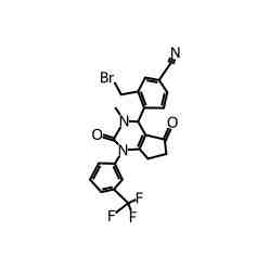 CN1C(=O)N(c2cccc(C(F)(F)F)c2)C2=C(C(=O)CC2)C1c1ccc(C#N)cc1CBr